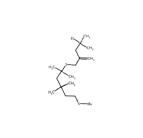 C=C(CSC(C)(C)CC(C)(C)CCSC(C)(C)C)CC(C)(C)CC